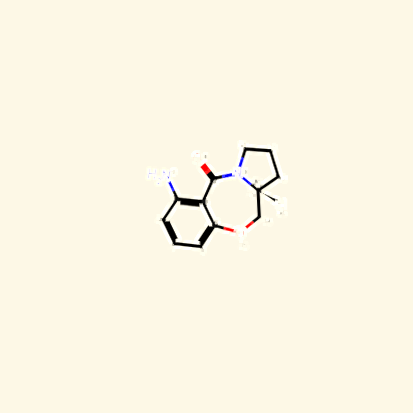 Nc1cccc2c1C(=O)N1CCC[C@@H]1CO2